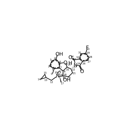 Cc1ccc(O)c2c1[C@]13CCN(CC4CC4)[C@H](C)[C@]1(O)CC[C@@H](N1C(=O)c4ccc(F)cc4C1=O)[C@@H]3O2